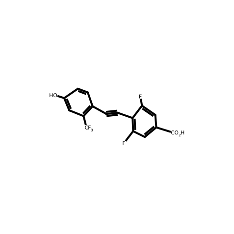 O=C(O)c1cc(F)c(C#Cc2ccc(O)cc2C(F)(F)F)c(F)c1